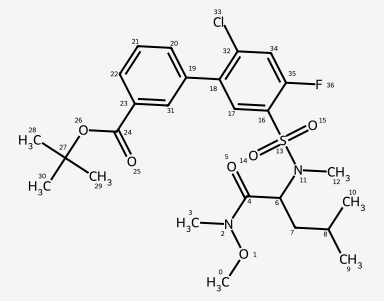 CON(C)C(=O)C(CC(C)C)N(C)S(=O)(=O)c1cc(-c2cccc(C(=O)OC(C)(C)C)c2)c(Cl)cc1F